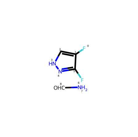 Fc1c[nH]nc1F.NC=O